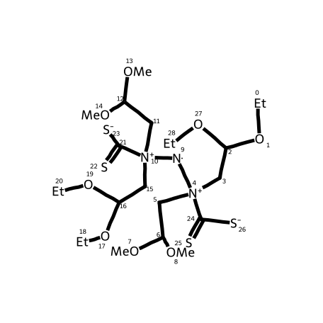 CCOC(C[N+](CC(OC)OC)([N][N+](CC(OC)OC)(CC(OCC)OCC)C(=S)[S-])C(=S)[S-])OCC